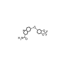 NC(=O)c1cnc2ccc(C3CC3c3ccc4c(c3)OC(F)(F)O4)cc2c1